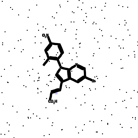 Cc1cc([N+](=O)[O-])ccc1-n1cc(/C=C/C(=O)O)c2cc(Br)cnc21